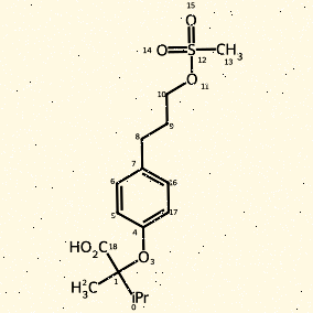 CC(C)C(C)(Oc1ccc(CCCOS(C)(=O)=O)cc1)C(=O)O